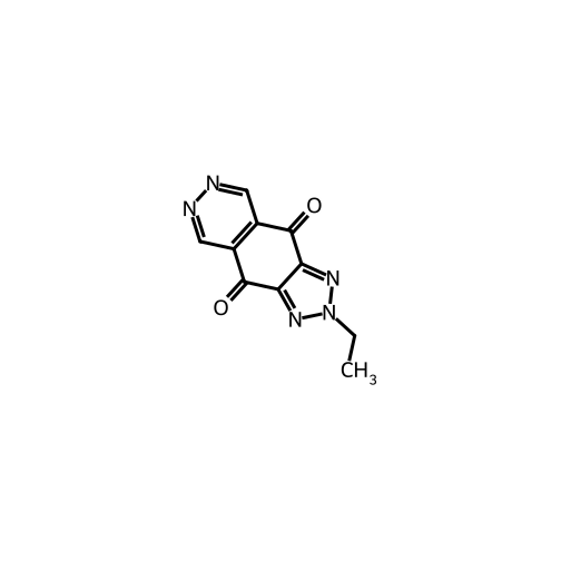 CCn1nc2c(n1)C(=O)c1cnncc1C2=O